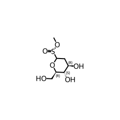 COS(=O)C1C[C@@H](O)[C@H](O)[C@@H](CO)O1